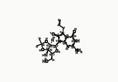 C=CCn1c(=O)n([C@H]2O[C@@H](CO)[C@@H]3OC(C)(C)O[C@H]32)c2nc(N)[nH]c(=O)c21